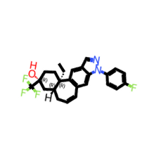 CC[C@@]12CC[C@](O)(C(F)(F)F)C[C@H]1CC=Cc1cc3c(cnn3-c3ccc(F)cc3)cc12